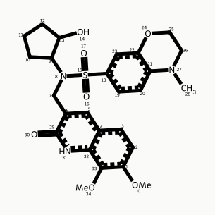 COc1ccc2cc(CN(C3CCCC3O)S(=O)(=O)c3ccc4c(c3)OCCN4C)c(=O)[nH]c2c1OC